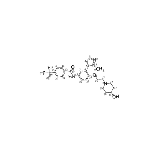 Cn1nccc1-c1cc(NC(=O)c2ccc(C(F)(F)F)cc2)ccc1OCCN1CCC(O)CC1